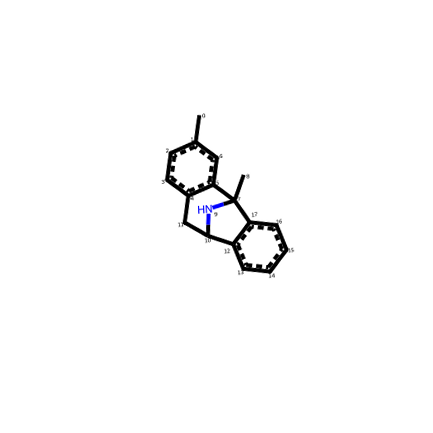 Cc1ccc2c(c1)C1(C)NC(C2)c2ccccc21